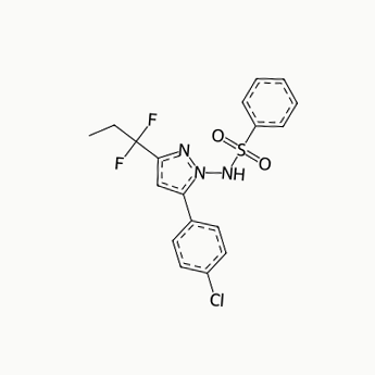 CCC(F)(F)c1cc(-c2ccc(Cl)cc2)n(NS(=O)(=O)c2ccccc2)n1